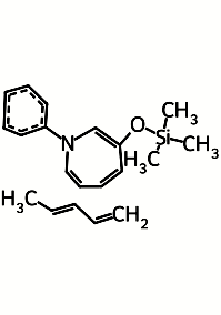 C=CC=CC.C[Si](C)(C)OC1=CN(c2ccccc2)C=CC=C1